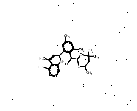 CCC(c1c(C)cc(C)cc1C1C=C(C)c2c(C)cccc2N1)[C@@H]1OC(C)CC(C)(C)O1